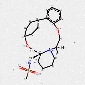 C[C@@H]1COc2ccccc2C2CCC(CC2)OC[C@H]2[C@@H](NS(C)(=O)=O)CCCN12